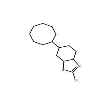 SC1=NC2CCC(C3CCCCCCC3)CC2S1